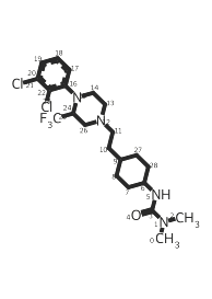 CN(C)C(=O)NC1CCC(CCN2CCN(c3cccc(Cl)c3Cl)C(C(F)(F)F)C2)CC1